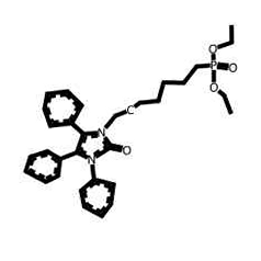 CCOP(=O)(CCCCCCCn1c(-c2ccccc2)c(-c2ccccc2)n(-c2ccccc2)c1=O)OCC